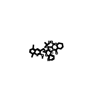 COc1nc2c(C)ccc(C)c2cc1CO[C@H]1[C@H](C(C)(C)C)[C@@H](C(=O)O)N(C(=O)C2CCCCC2)[C@H]1c1cccnc1OC(C)C